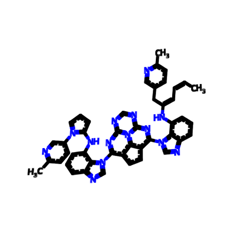 C/C=C\C=C(/Cc1ccc(C)nc1)Nc1cccc2ncn(-c3nc4ncnc5nc(-n6cnc7cccc(Nc8cccn8-c8ccc(C)nc8)c76)c6ccc3c6n45)c12